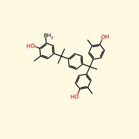 Bc1cc(C(C)(C)c2ccc(C(C)(c3ccc(O)c(C)c3)c3ccc(O)c(C)c3)cc2)cc(C)c1O